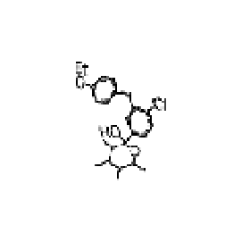 CCOc1ccc(Cc2cc(C3(O)OC(C)C(C)C(C)C3C)ccc2Cl)cc1